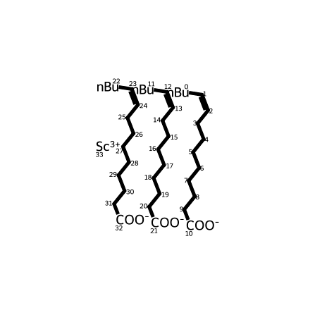 CCCC/C=C\CCCCCCCC(=O)[O-].CCCC/C=C\CCCCCCCC(=O)[O-].CCCC/C=C\CCCCCCCC(=O)[O-].[Sc+3]